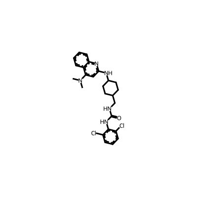 CN(C)c1cc(NC2CCC(CNC(=O)Nc3c(Cl)cccc3Cl)CC2)nc2ccccc12